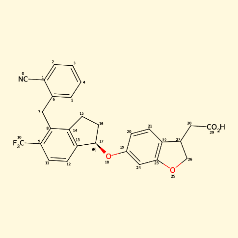 N#Cc1ccccc1Cc1c(C(F)(F)F)ccc2c1CC[C@H]2Oc1ccc2c(c1)OCC2CC(=O)O